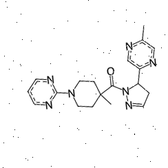 Cc1cnc(C2CC=NN2C(=O)C2(C)CCN(c3ncccn3)CC2)cn1